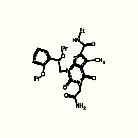 CCNC(=O)c1sc2c(c1C)c(=O)n(CC(N)=O)c(=O)n2C[C@H](OC(C)C)c1ccccc1OC(C)C